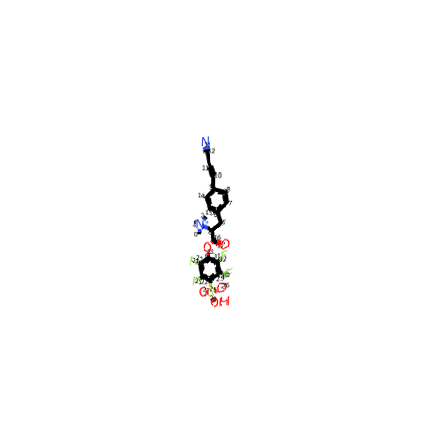 C[N+](C)(C)C(Cc1ccc(C#CC#N)cc1)C(=O)Oc1c(F)c(F)c(S(=O)(=O)O)c(F)c1F